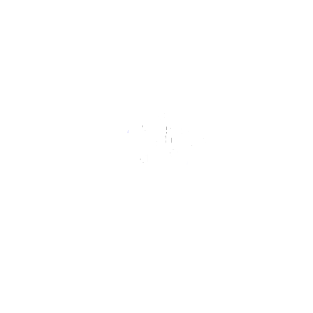 CC/C=C(\C)C(Cl)(Cl)O[PH](=O)OC(Cl)(Cl)/C(C)=C/CC